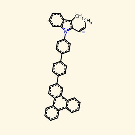 C/C=C\c1c(C)c2ccccc2n1-c1ccc(-c2ccc(-c3ccc4c5ccccc5c5ccccc5c4c3)cc2)cc1